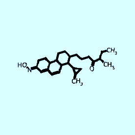 CCC(C)C(=O)CCCC1CCC2C3CC/C(=N\O)C=C3C=CC2C1C1CC1C